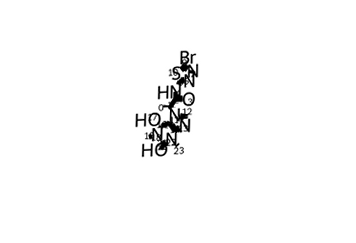 C[C@@H](C(=O)Nc1nnc(Br)s1)n1cnc2c1C(O)N(C)C(O)N2C